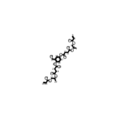 C=CC(=O)OCC(C)OC(=O)CCC(=O)Oc1ccc(OC(=O)CCC(=O)OC(C)COC(=O)C=C)c(C=O)c1